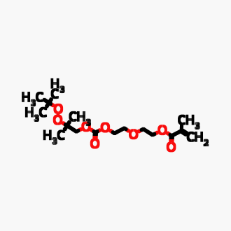 C=C(C)C(=O)OCCOCCOC(=O)OCC(C)(C)OOC(C)(C)C